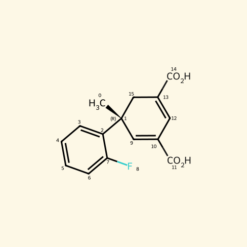 C[C@]1(c2ccccc2F)C=C(C(=O)O)C=C(C(=O)O)C1